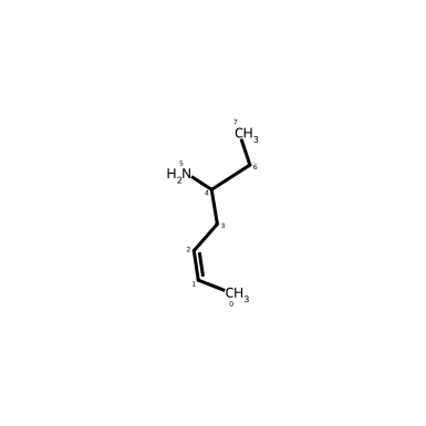 C/C=C\CC(N)CC